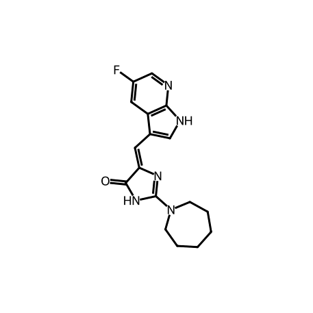 O=C1NC(N2CCCCCC2)=NC1=Cc1c[nH]c2ncc(F)cc12